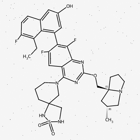 CCc1c(F)ccc2cc(O)cc(-c3c(F)cc4c(N5CCCC6(CNS(=O)(=O)N6)C5)nc(OC[C@@]56CCCN5C[C@H](C)C6)nc4c3F)c12